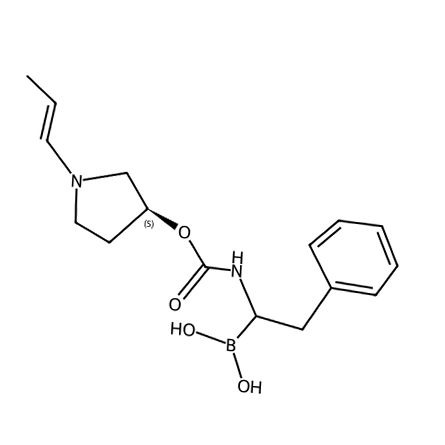 CC=CN1CC[C@H](OC(=O)NC(Cc2ccccc2)B(O)O)C1